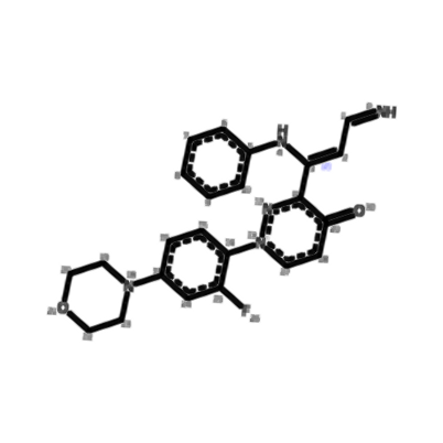 N=C/C=C(\Nc1ccccc1)c1nn(-c2ccc(N3CCOCC3)cc2F)ccc1=O